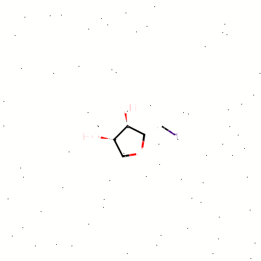 O[C@@H]1[C@H](O)CO[C@H]1CI